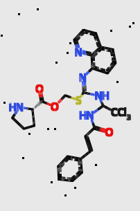 O=C(/C=C/c1ccccc1)NC(N/C(=N\c1cccc2cccnc12)SCOC(=O)[C@@H]1CCCN1)C(Cl)(Cl)Cl